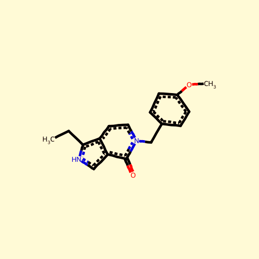 CCc1[nH]cc2c(=O)n(Cc3ccc(OC)cc3)ccc12